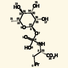 CC(C)C[C@H](NP(=O)(O)O[C@H]1O[C@H](C)[C@@H](O)[C@H](O)[C@@H]1O)C(=O)O